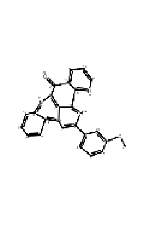 COc1cccc(-c2cc3c4c(nc5ccccc53)C(=O)c3cccnc3-c4n2)c1